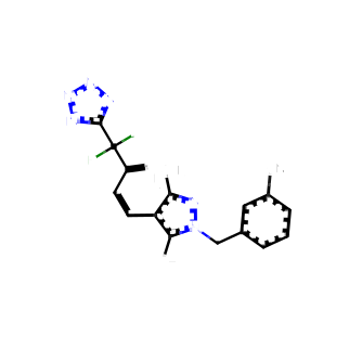 C=C(/C=C\c1c(C)nn(Cc2cccc(C#N)c2)c1C)C(F)(F)c1nnn[nH]1